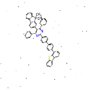 CC1(C)c2ccccc2-c2ccc(-c3c(-c4ccccc4)nc(-c4ccc(-c5ccc(-c6cccc7c6sc6ccccc67)cc5)cc4)nc3-c3ccccc3)cc21